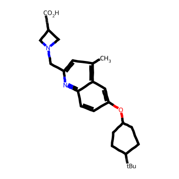 Cc1cc(CN2CC(C(=O)O)C2)nc2ccc(OC3CCC(C(C)(C)C)CC3)cc12